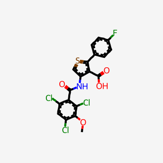 COc1c(Cl)cc(Cl)c(C(=O)Nc2csc(-c3ccc(F)cc3)c2C(=O)O)c1Cl